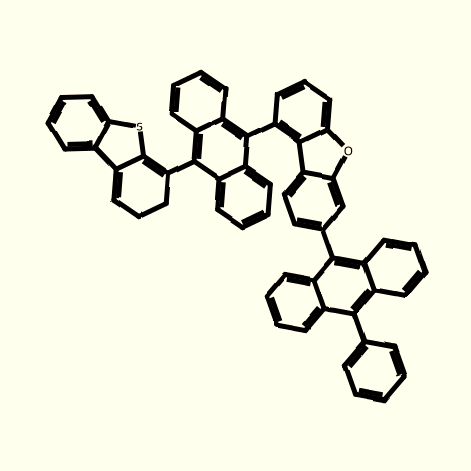 C1=c2c(sc3ccccc23)=C(c2c3ccccc3c(-c3cccc4oc5cc(-c6c7ccccc7c(-c7ccccc7)c7ccccc67)ccc5c34)c3ccccc23)CC1